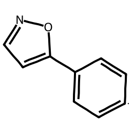 [c]1ccc(-c2ccno2)cc1